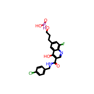 O=C(NCc1ccc(Cl)cc1)c1cnc2c(F)cc(CCCO[PH](=O)O)cc2c1O